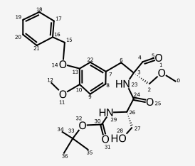 COC[C@@](C=O)(Cc1ccc(OC)c(OCc2ccccc2)c1)NC(=O)[C@H](CO)NC(=O)OC(C)(C)C